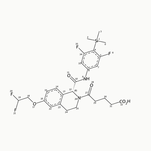 C[Si](C)(C)c1c(F)cc(NC(=O)[C@H]2c3ccc(OCC(F)F)cc3CCN2C(=O)CCCC(=O)O)cc1F